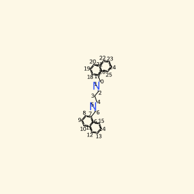 C(=NCCCN=Cc1cccc2ccccc12)c1cccc2ccccc12